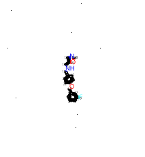 Fc1cccc(COc2ccc(CNCc3cnco3)cc2)c1